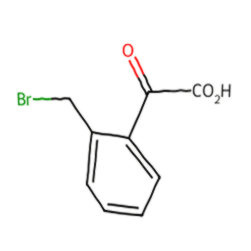 O=C(O)C(=O)c1ccccc1CBr